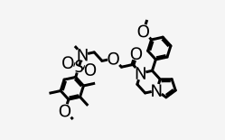 COc1cccc(C2c3cccn3CCN2C(=O)COCCN(C)S(=O)(=O)c2cc(C)c(OC)c(C)c2C)c1